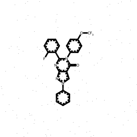 O=c1c2cn(-c3ccccc3)nc2nc(-c2ccccc2F)n1-c1ccc(OC(F)(F)F)cc1